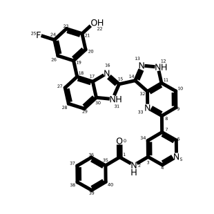 O=C(Nc1cncc(-c2ccc3[nH]nc(-c4nc5c(-c6cc(O)cc(F)c6)cccc5[nH]4)c3n2)c1)c1ccccc1